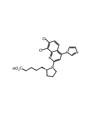 O=C(O)CCCC[C@@H]1CCCN1c1cc(-n2ccnc2)c2ccc(Cl)c(Cl)c2n1